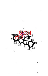 CC(C)(C)C(C(C)(C)[C](Cc1ccccc1)Cc1ccccc1)P(=O)(O)O